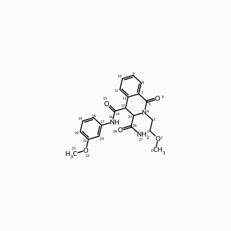 COCCN1C(=O)c2ccccc2C(C(=O)Nc2cccc(OC)c2)C1C(N)=O